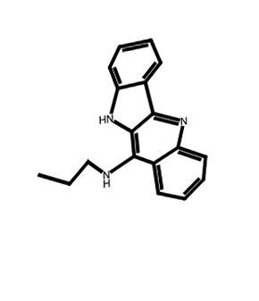 CC[CH]Nc1c2ccccc2nc2c1[nH]c1ccccc12